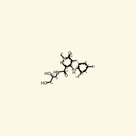 Cc1c([AsH]c2ccc(I)cc2F)c(C(=O)NCC(O)CO)nn(C)c1=O